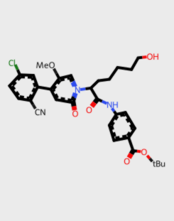 COc1cn(C(CCCCCO)C(=O)Nc2ccc(C(=O)OC(C)(C)C)cc2)c(=O)cc1-c1cc(Cl)ccc1C#N